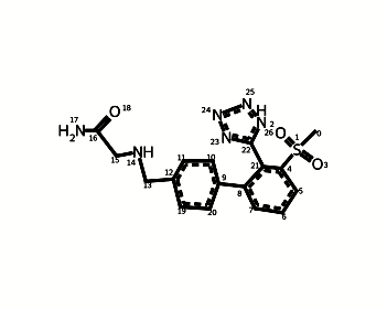 CS(=O)(=O)c1cccc(-c2ccc(CNCC(N)=O)cc2)c1-c1nnn[nH]1